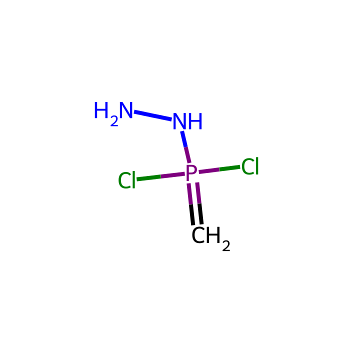 C=P(Cl)(Cl)NN